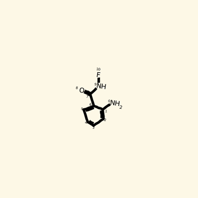 Nc1ccccc1C(=O)NF